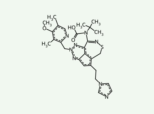 COc1c(C)cnc(Cn2nc3cc(CCn4ccnc4)c4c-3c(n2)C(N(C(=O)O)C(C)(C)C)=NSC4)c1C